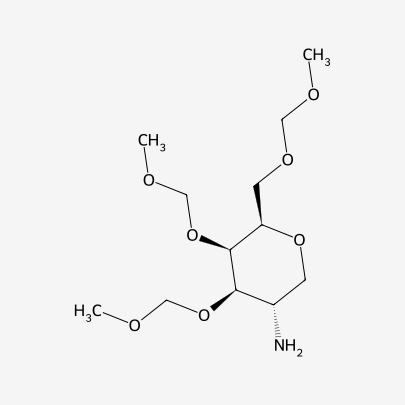 COCOC[C@H]1OC[C@H](N)[C@@H](OCOC)[C@H]1OCOC